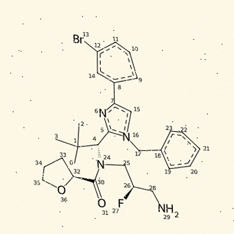 CC(C)(C)[C@H](c1nc(-c2cccc(Br)c2)cn1Cc1ccccc1)N(C[C@H](F)CN)C(=O)[C@@H]1CCCO1